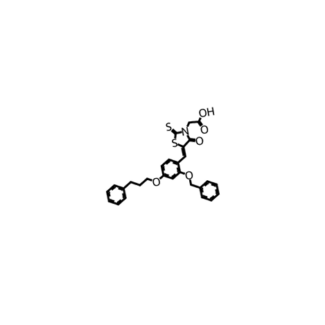 O=C(O)CN1C(=O)/C(=C/c2ccc(OCCCc3ccccc3)cc2OCc2ccccc2)SC1=S